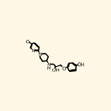 Oc1ccc(OCC(O)CNC2CCN(c3ccc(Cl)cn3)CC2)cc1